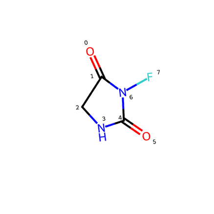 O=C1CNC(=O)N1F